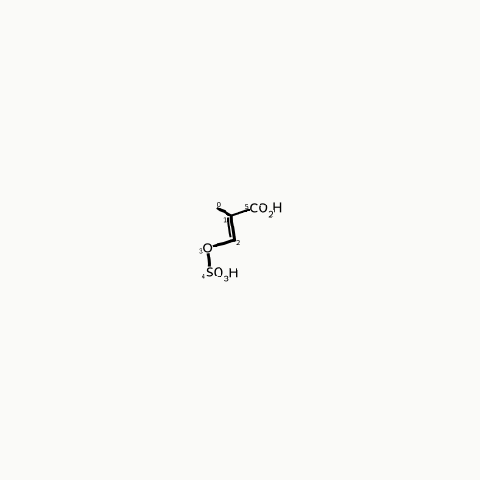 CC(=COS(=O)(=O)O)C(=O)O